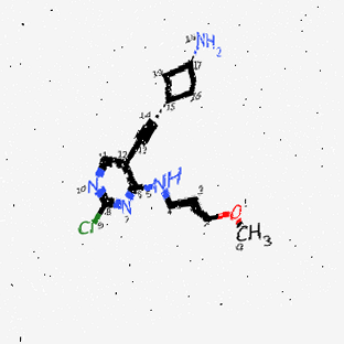 COCCCNc1nc(Cl)ncc1C#C[C@H]1C[C@@H](N)C1